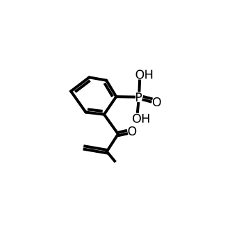 C=C(C)C(=O)c1ccccc1P(=O)(O)O